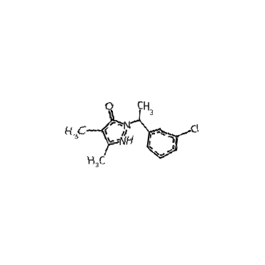 Cc1[nH]n(C(C)c2cccc(Cl)c2)c(=O)c1C